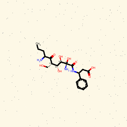 CCCC(N)C(=O)[C@@H](CO)[C@@H](O)[C@@H](O)[C@](N)(O)C(=O)NC(CC(=O)O)c1ccccc1